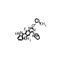 Cc1cccc2[nH]nc(-c3c(Cl)cc4c(N5CC6CCC(C5)N6)nc(OC[C@@H]5CCCN5C)nc4c3F)c12